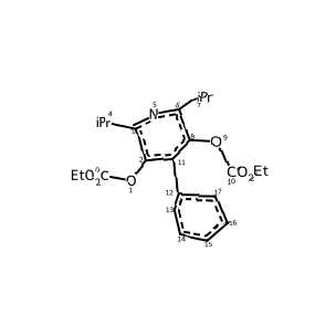 CCOC(=O)Oc1c(C(C)C)nc(C(C)C)c(OC(=O)OCC)c1-c1ccccc1